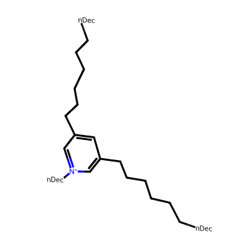 CCCCCCCCCCCCCCCCc1cc(CCCCCCCCCCCCCCCC)c[n+](CCCCCCCCCC)c1